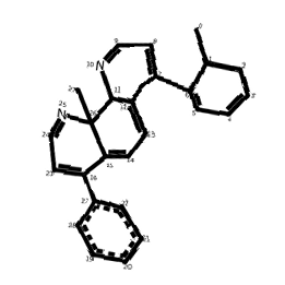 CC1CC=CC=C1C1=CC=NC2C1=CC=C1C(c3ccccc3)=CC=NC12C